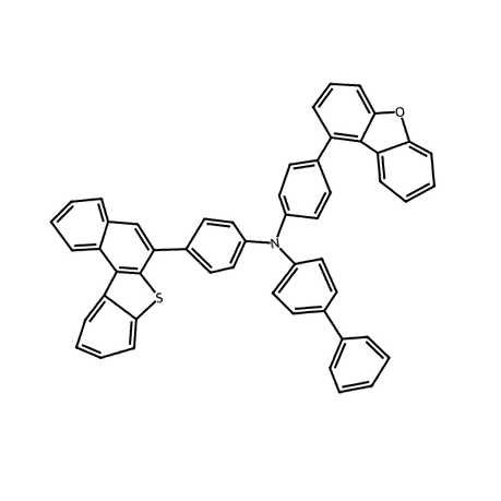 c1ccc(-c2ccc(N(c3ccc(-c4cc5ccccc5c5c4sc4ccccc45)cc3)c3ccc(-c4cccc5oc6ccccc6c45)cc3)cc2)cc1